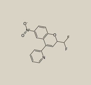 O=[N+]([O-])c1ccc2c(c1)C(c1ccccn1)=CC(C(F)F)O2